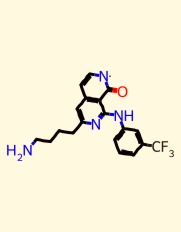 NCCCCc1cc2c(c(Nc3cccc(C(F)(F)F)c3)n1)C(=O)[N]C=C2